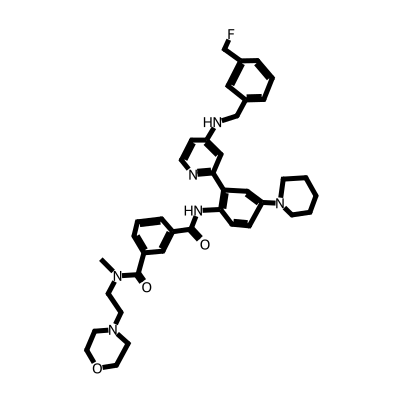 CN(CCN1CCOCC1)C(=O)c1cccc(C(=O)Nc2ccc(N3CCCCC3)cc2-c2cc(NCc3cccc(CF)c3)ccn2)c1